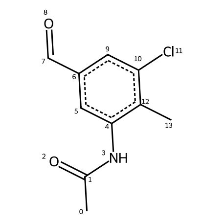 CC(=O)Nc1cc(C=O)cc(Cl)c1C